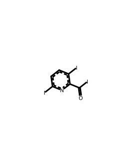 O=C(I)c1nc(I)ccc1I